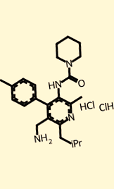 Cc1ccc(-c2c(CN)c(CC(C)C)nc(C)c2NC(=O)N2CCCCC2)cc1.Cl.Cl